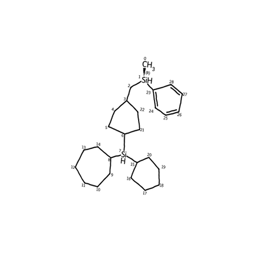 C[Si@H](CC1CCC([SiH](C2CCCCCC2)C2CCCCC2)CC1)c1ccccc1